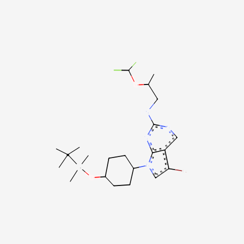 CC(CNc1ncc2c(Br)cn(C3CCC(O[Si](C)(C)C(C)(C)C)CC3)c2n1)OC(F)F